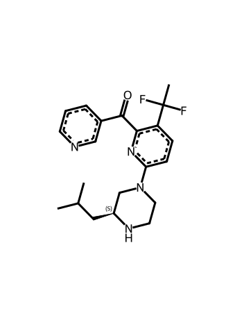 CC(C)C[C@H]1CN(c2ccc(C(C)(F)F)c(C(=O)c3cccnc3)n2)CCN1